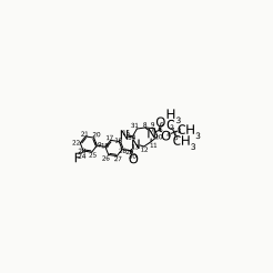 CC(C)(C)OC(=O)N1C2CCC1Cn1c(nc3cc(-c4cccc(F)c4)ccc3c1=O)C2